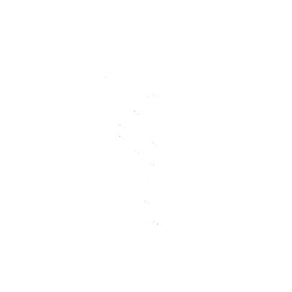 C=CC(=O)Nc1cccc(-c2nc(Nc3cccc(N4CCN(C)CC4)c3)nc3[nH]nc(Nc4ccc(N5CCOCC5)cc4)c23)c1